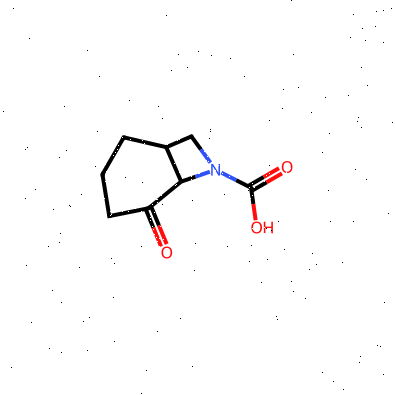 O=C1CCCC2CN(C(=O)O)C12